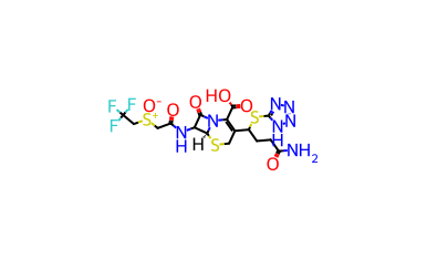 NC(=O)CCC(Sc1nnn[nH]1)C1=C(C(=O)O)N2C(=O)C(NC(=O)C[S+]([O-])CC(F)(F)F)[C@@H]2SC1